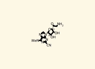 CNc1nc(C#N)nc2c1ncn2[C@@H]1O[C@H](C(=O)CN)[C@@H](O)[C@H]1O